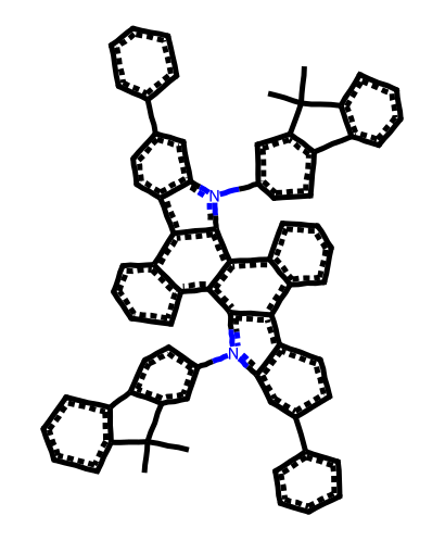 CC1(C)c2ccccc2-c2ccc(-n3c4cc(-c5ccccc5)ccc4c4c5ccccc5c5c(c6ccccc6c6c7ccc(-c8ccccc8)cc7n(-c7ccc8c(c7)C(C)(C)c7ccccc7-8)c65)c43)cc21